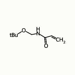 C=CC(=O)NCOC(C)(C)C